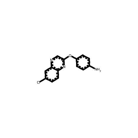 Nc1ccc(Oc2cnc3cc(Cl)ccc3n2)cc1